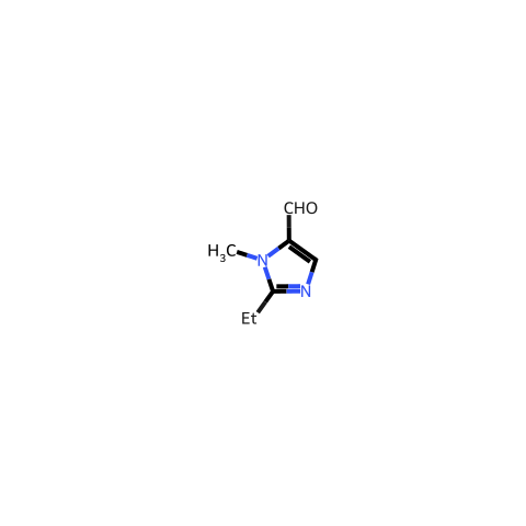 CCc1ncc(C=O)n1C